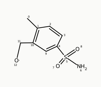 Cc1ccc(S(N)(=O)=O)cc1C[O]